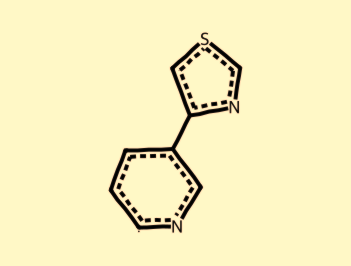 [c]1ccc(-c2cscn2)cn1